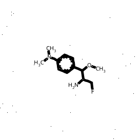 COC(c1ccc(N(C)C)cc1)C(N)CF